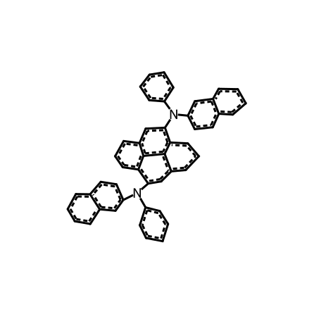 c1ccc(N(c2ccc3ccccc3c2)c2cc3cccc4c(N(c5ccccc5)c5ccc6ccccc6c5)cc5cccc2c5c34)cc1